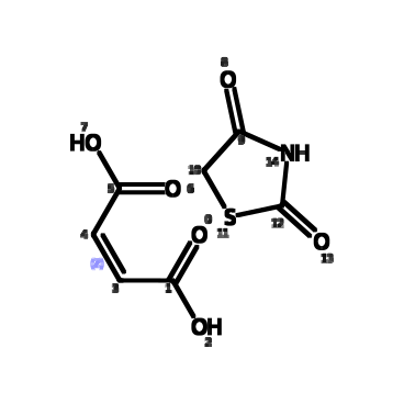 O=C(O)/C=C\C(=O)O.O=C1CSC(=O)N1